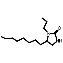 CCCCCCCCC1CNC(=O)N1CCC